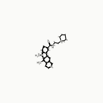 Cc1c2ccncc2cc2c3cc(C(=O)NCCN4CCCCC4)ccc3n(C)c12